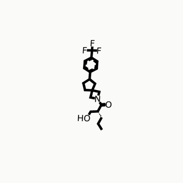 CCC[C@H](CO)C(=O)N1CC2(CCC(c3ccc(C(F)(F)F)cc3)C2)C1